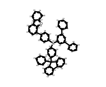 c1ccc(-c2cc(-c3ccccc3)cc(N(c3ccc(-c4cccc5c4oc4ccccc45)cc3)c3ccc(C4(c5ccccc5)c5ccccc5-c5ccccc54)cc3)c2)cc1